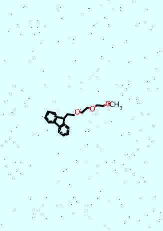 COCCOCCOCCC1c2ccccc2-c2ccccc21